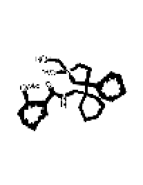 COc1ccccc1C(=O)NCC1(C2(c3ccccc3)CCS(O)(CO)C2)CCCCC1